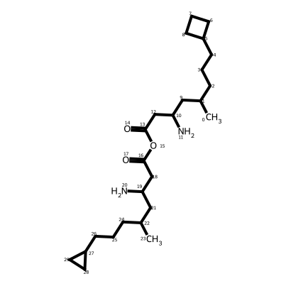 CC(CCCC1CCC1)CC(N)CC(=O)OC(=O)CC(N)CC(C)CCCC1CC1